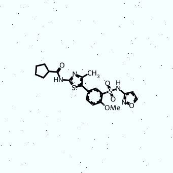 COc1ccc(-c2sc(NC(=O)C3CCCC3)nc2C)cc1S(=O)(=O)Nc1ccon1